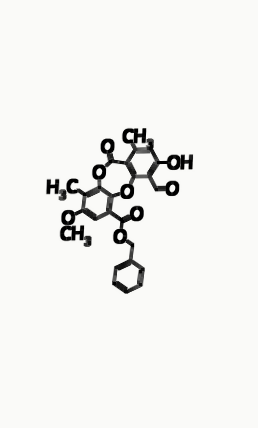 COc1cc(C(=O)OCc2ccccc2)c2c(c1C)OC(=O)c1c(C)cc(O)c(C=O)c1O2